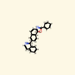 c1ccc(-c2nc3ccc4cc(-c5nccc6ccccc56)ccc4c3o2)cc1